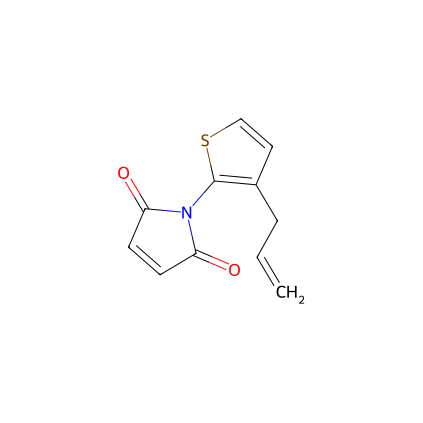 C=CCc1ccsc1N1C(=O)C=CC1=O